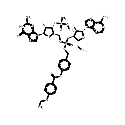 BP(=O)(OC)O[C@H]1[C@@H](F)[C@H](n2cnc3c(=O)[nH]c(N)nc32)O[C@@H]1COP(=O)(O[C@H]1[C@@H](F)[C@H](n2cnc3c(N)ncnc32)O[C@@H]1CC)SCc1ccc(OC(=O)c2ccc(OCC)cc2)cc1